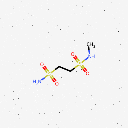 CNS(=O)(=O)CCS(N)(=O)=O